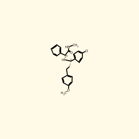 CNC(=O)[C@H](N[C@@H](CCc1ccc(OC)cc1)c1ccc(Cl)cc1)c1ccccc1